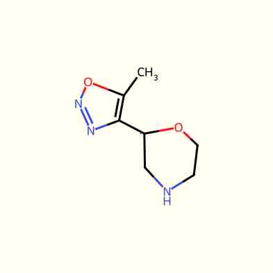 Cc1onnc1[C]1CNCCO1